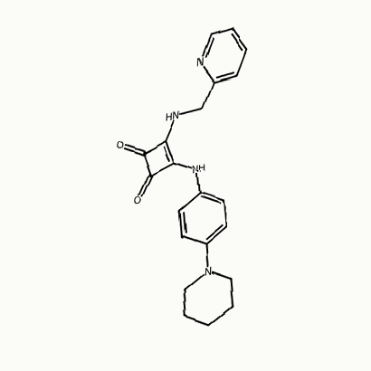 O=c1c(NCc2ccccn2)c(Nc2ccc(N3CCCCC3)cc2)c1=O